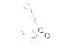 CCn1c(-c2nonc2N)nc2c(-c3ccccc3)ncc(OCCCNCCCN3CCOCC3)c21.O=C(O)C(F)(F)F